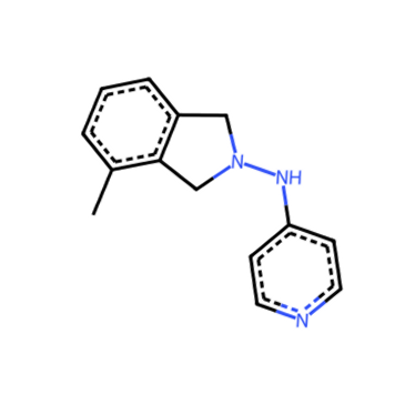 Cc1cccc2c1CN(Nc1ccncc1)C2